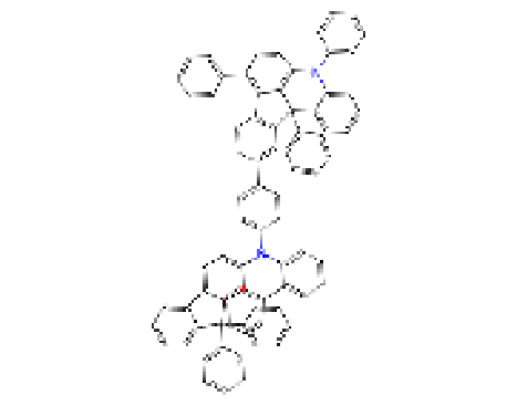 c1ccc(-c2ccccc2N(c2ccc(-c3ccc4c(c3)C3(c5ccccc5)c5ccccc5N(c5ccccc5)c5ccc(-c6ccccc6)c-4c53)cc2)c2ccc3c(c2)C(c2ccccc2)(c2ccccc2)c2ccccc2-3)cc1